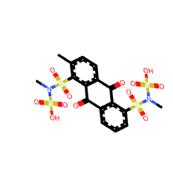 Cc1ccc2c(c1S(=O)(=O)N(C)S(=O)(=O)O)C(=O)c1cccc(S(=O)(=O)N(C)S(=O)(=O)O)c1C2=O